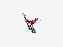 CCCCCCCCCC(CCCCCCCCC)C(=O)OCC(COP(=O)(O)OCCN)OC(=O)C(CCCCCCCCC)CCCCCCCCC